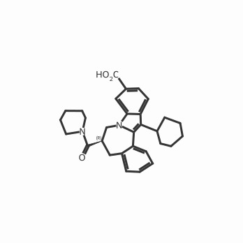 O=C(O)c1ccc2c(C3CCCCC3)c3n(c2c1)C[C@H](C(=O)N1CCCCC1)Cc1ccccc1-3